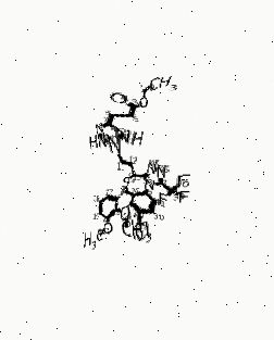 CCOC(=O)CCC1=NNN(CC[C@@H]2S[C@@H](c3cccc(OC)c3OC)c3cc(Cl)ccc3-n3c2nnc3C(F)(F)F)N1